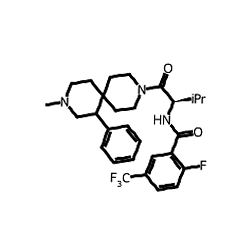 CC(C)[C@@H](NC(=O)c1cc(C(F)(F)F)ccc1F)C(=O)N1CCC2(CCN(C)CC2c2ccccc2)CC1